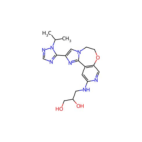 CC(C)n1ncnc1-c1cn2c(n1)-c1cc(NCC(O)CO)ncc1OCC2